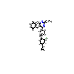 COc1nc(OC)c(Cc2ccccc2)c(C2CC=C(c3ccc(C4CC4)cc3F)CC2)n1